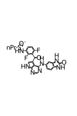 CCC[S+]([O-])Nc1ccc(F)c(C(=O)c2c[nH]c3ncnc(Nc4ccc5[nH]c(=O)[nH]c5c4)c23)c1F